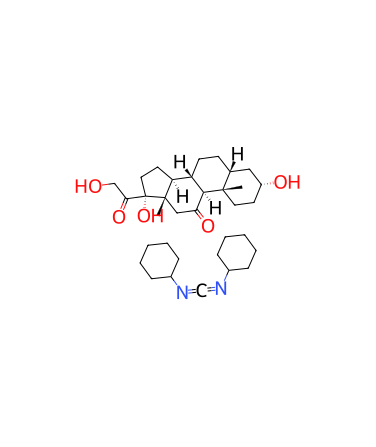 C(=NC1CCCCC1)=NC1CCCCC1.C[C@]12CC[C@@H](O)C[C@H]1CC[C@@H]1[C@@H]2C(=O)C[C@@]2(C)[C@H]1CC[C@]2(O)C(=O)CO